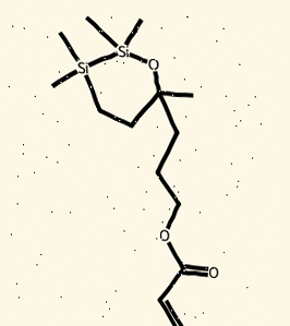 C=CC(=O)OCCCC1(C)CC[Si](C)(C)[Si](C)(C)O1